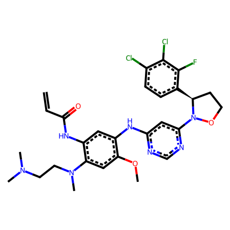 C=CC(=O)Nc1cc(Nc2cc(N3OCC[C@@H]3c3ccc(Cl)c(Cl)c3F)ncn2)c(OC)cc1N(C)CCN(C)C